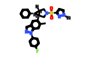 CCn1ccc(S(=O)(=O)N2C[C@@H]3[C@@H](c4ccccc4)[C@]3(c3cc4cnn(-c5ccc(F)cc5)c4cc3C)C2)n1